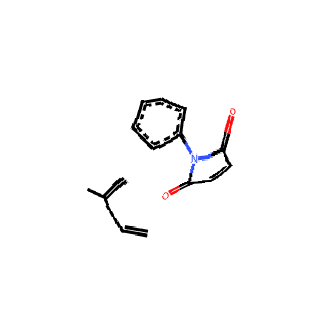 C=CC(=C)C.O=C1C=CC(=O)N1c1ccccc1